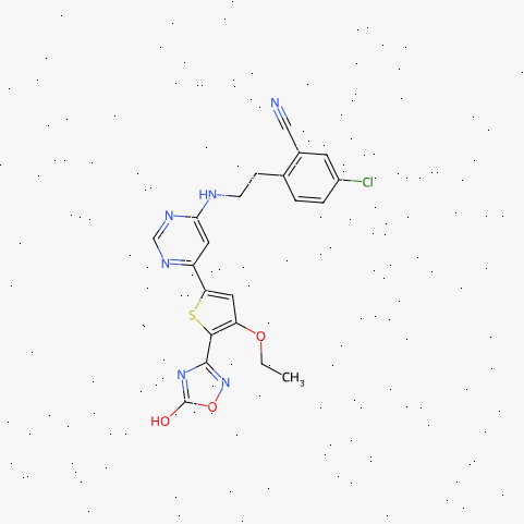 CCOc1cc(-c2cc(NCCc3ccc(Cl)cc3C#N)ncn2)sc1-c1noc(O)n1